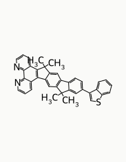 CC1(C)c2cc(-c3csc4ccccc34)ccc2-c2cc3c(cc21)-c1c(c2cccnc2c2ncccc12)C3(C)C